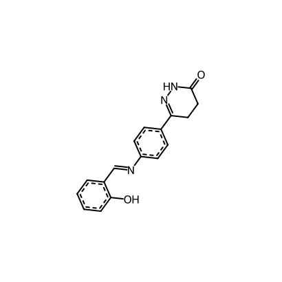 O=C1CCC(c2ccc(N=Cc3ccccc3O)cc2)=NN1